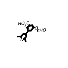 Cc1cc(-c2cc(OC=O)cc(C(=O)O)c2)cc(C)n1